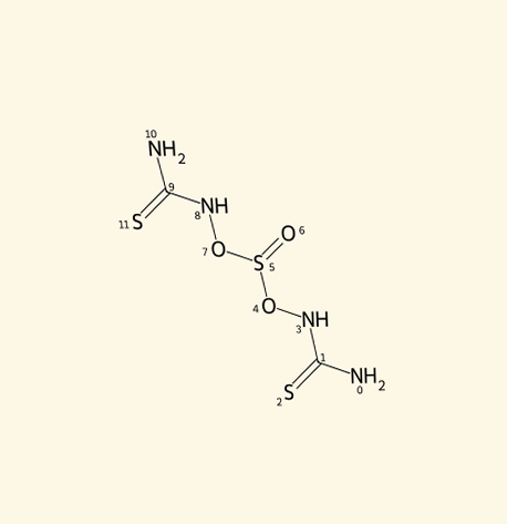 NC(=S)NOS(=O)ONC(N)=S